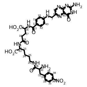 Nc1nc2ncc(CNc3ccc(C(=O)NC(CCC(=O)N[C@@H](CCCCNC(=O)C(N)Cc4ccc([N+](=O)[O-])cc4)C(=O)O)C(=O)O)cc3)nc2c(=O)[nH]1